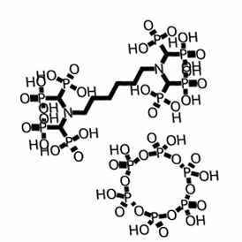 O=P(O)(O)C(N(CCCCCCN(C(P(=O)(O)O)P(=O)(O)O)C(P(=O)(O)O)P(=O)(O)O)C(P(=O)(O)O)P(=O)(O)O)P(=O)(O)O.O=P1(O)OP(=O)(O)OP(=O)(O)OP(=O)(O)OP(=O)(O)OP(=O)(O)O1